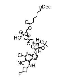 CCCCCCCCCCCCCCCC(=O)OCOP(=O)(O)CS(=O)(=O)C[C@H]1O[C@@H](n2ccc3c(NC4CC(F)C4)c(C#N)c(Cl)nc32)[C@@H]2OC(C)(C)O[C@@H]21